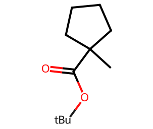 CC(C)(C)OC(=O)C1(C)CCCC1